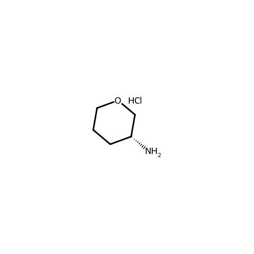 Cl.N[C@@H]1CCCOC1